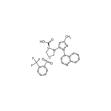 Cc1cc(N2C[C@H](S(=O)(=O)c3ccccc3C(F)(F)F)C[C@H]2C(=O)O)n(-c2ccnc3ccccc23)n1